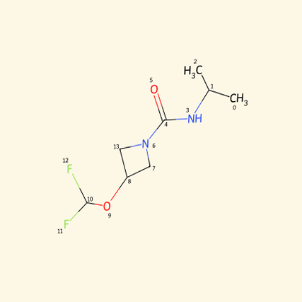 CC(C)NC(=O)N1CC(OC(F)F)C1